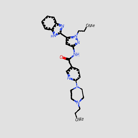 COCCN1CCN(c2ccc(C(=O)Nc3cc(-c4nc5ccccc5[nH]4)n(CCOC)n3)cn2)CC1